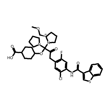 COC[C@H]1CCCN1C(OC1CCC(C(=O)O)CC1)(C(=O)Cc1cc(Cl)c(NC(=O)c2csc3ccccc23)cc1F)N1CCCC1